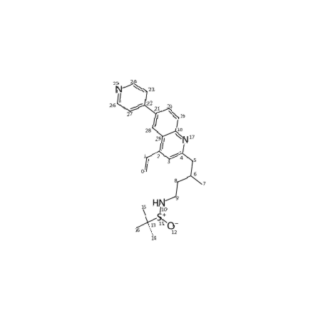 C=Cc1cc(CC(C)CCN[S+]([O-])C(C)(C)C)nc2ccc(-c3ccncc3)cc12